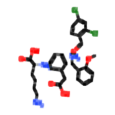 COc1ccccc1CN.NCCCC[C@@H](N)C(=O)O.O=C(O)Cc1ccccc1.O=Cc1ccc(Cl)cc1Cl